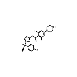 C#CC(C)(c1ccc(F)cc1)c1csc(NC(=O)c2c(F)cc(N3CCNCC3)cc2F)n1